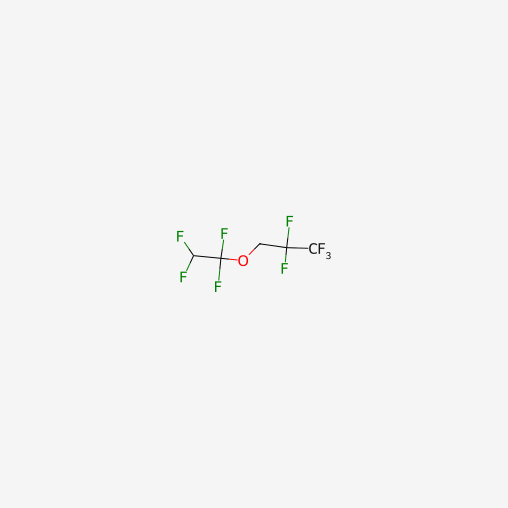 FC(F)C(F)(F)OCC(F)(F)C(F)(F)F